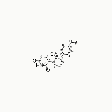 O=C1CCC(c2cccc(-c3ccc(CBr)cc3)c2Cl)C(=O)N1